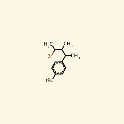 CC(Br)C(C)C(C)c1ccc(C(C)(C)C)cc1